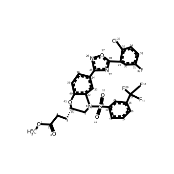 COC(=O)CC[C@H]1CN(S(=O)(=O)c2cccc(C(F)(F)F)c2)c2cc(-c3noc(-c4cc(F)ccc4Cl)n3)ccc2O1